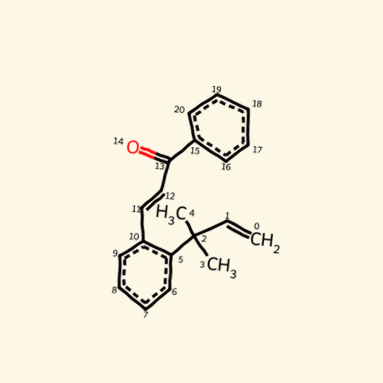 C=CC(C)(C)c1ccccc1C=CC(=O)c1ccccc1